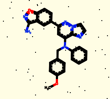 COc1ccc(CN(c2ccccc2)c2cc(-c3ccc4onc(N)c4c3)nn3ccnc23)cc1